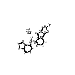 [Cl-].[Cl-].[S]=[Zr+2]([c]1cccc2c1C=CC2)[c]1cccc2c1=CC1=CC(Br)SC=21